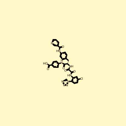 O=C(Nc1cc(Cl)ccc1-n1cnnn1)C(=O)N[C@@H](Cc1ccc(NC(=O)c2cccnc2)cc1)C(=O)Nc1ccc(C(=O)O)cc1